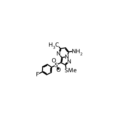 CSc1nn2c(N)cc(C)nc2c1S(=O)(=O)c1ccc(F)cc1